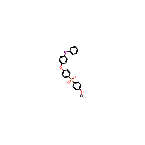 COc1ccc(S(=O)(=O)c2ccc(Oc3ccc(Pc4ccccc4)cc3)cc2)cc1